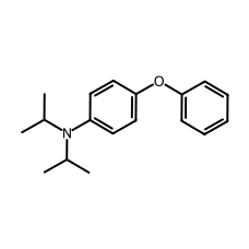 CC(C)N(c1ccc(Oc2ccccc2)cc1)C(C)C